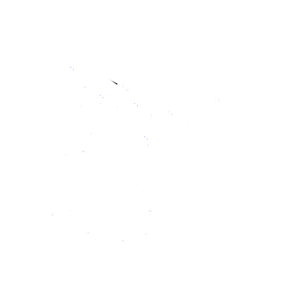 CN(C)C1CN(c2nc(N3CCN4CC[C@H]3C4)c3cc(Cl)c(-c4cc(O)cc5ccccc45)c(F)c3n2)C1